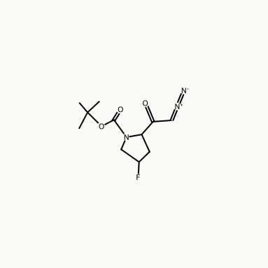 CC(C)(C)OC(=O)N1CC(F)CC1C(=O)C=[N+]=[N-]